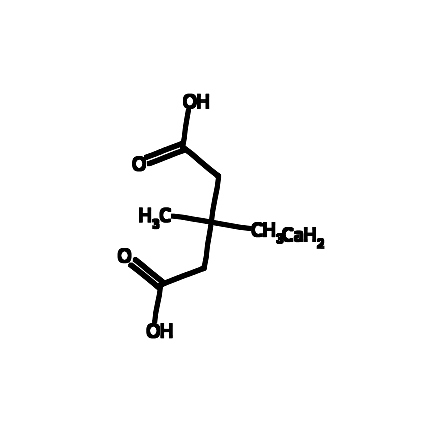 CC(C)(CC(=O)O)CC(=O)O.[CaH2]